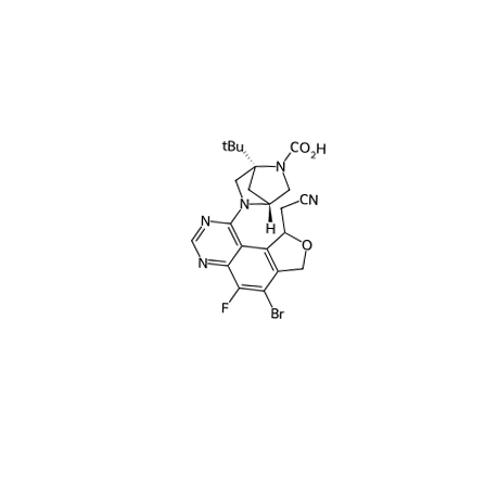 CC(C)(C)[C@@]12C[C@H](CN1C(=O)O)N(c1ncnc3c(F)c(Br)c4c(c13)C(CC#N)OC4)C2